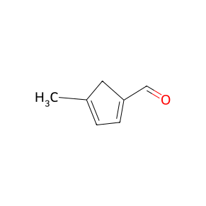 CC1=CC=C(C=O)C1